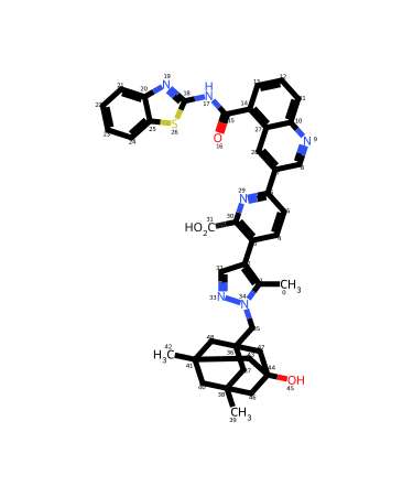 Cc1c(-c2ccc(-c3cnc4cccc(C(=O)Nc5nc6ccccc6s5)c4c3)nc2C(=O)O)cnn1CC12CC3(C)CC(C)(CC(O)(C3)C1)C2